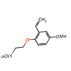 C=Cc1cc(OC)ccc1OCCCCCCCCCC